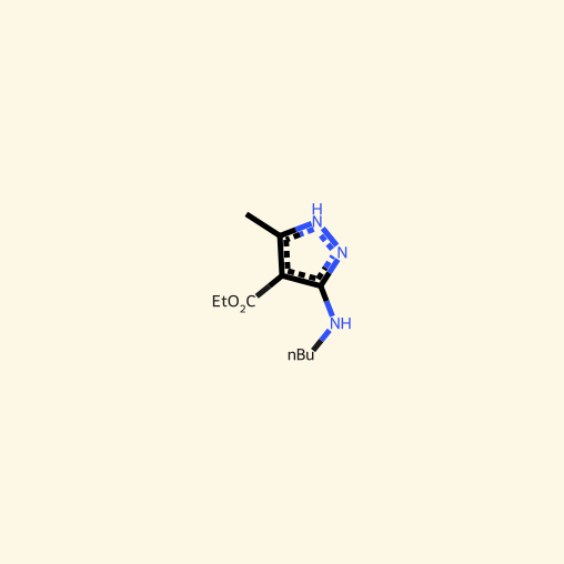 CCCCNc1n[nH]c(C)c1C(=O)OCC